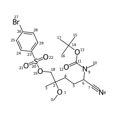 COC(C)(CCC(C#N)N(C)C(=O)OC(C)(C)C)COS(=O)(=O)c1ccc(Br)cc1